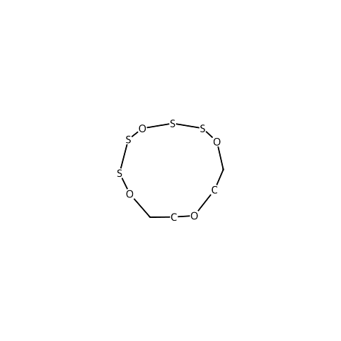 C1COSSOSSOCCO1